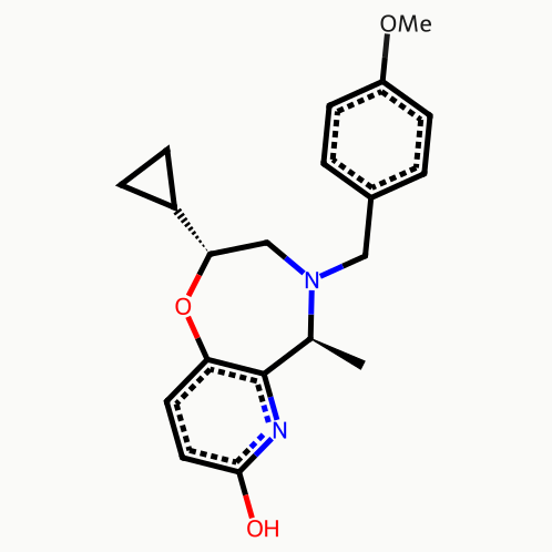 COc1ccc(CN2C[C@@H](C3CC3)Oc3ccc(O)nc3[C@@H]2C)cc1